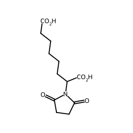 O=C(O)CCCCCC(C(=O)O)N1C(=O)CCC1=O